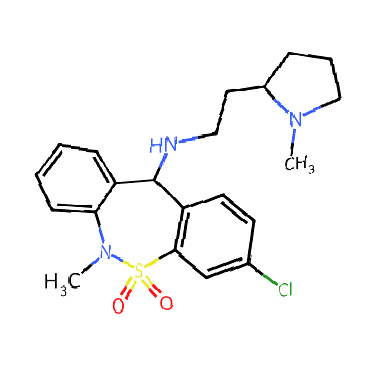 CN1CCCC1CCNC1c2ccccc2N(C)S(=O)(=O)c2cc(Cl)ccc21